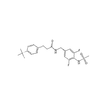 CC(C)(C)c1ccc(CCC(=O)NCc2cc(F)c(NS(C)(=O)=O)c(F)c2)cc1